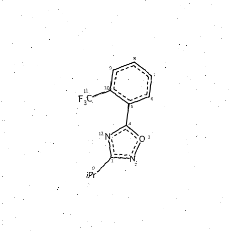 CC(C)c1noc(-c2ccccc2C(F)(F)F)n1